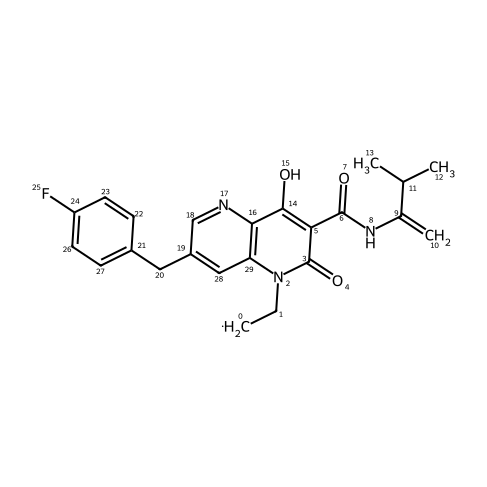 [CH2]Cn1c(=O)c(C(=O)NC(=C)C(C)C)c(O)c2ncc(Cc3ccc(F)cc3)cc21